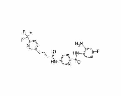 Nc1cc(F)ccc1NC(=O)c1ccc(NC(=O)CCCc2ccc(C(F)(F)F)nc2)cn1